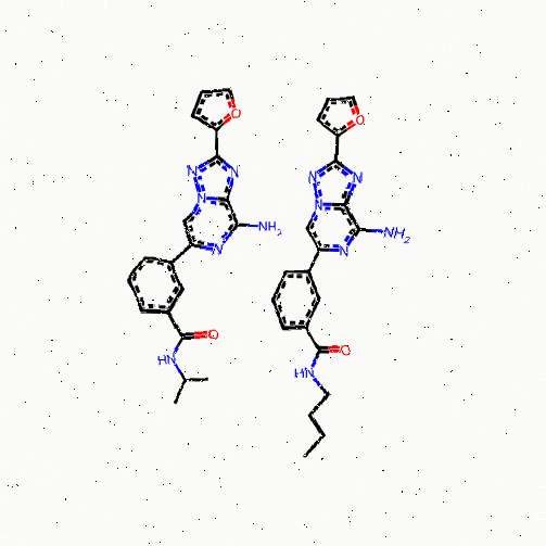 CC(C)NC(=O)c1cccc(-c2cn3nc(-c4ccco4)nc3c(N)n2)c1.CCCCNC(=O)c1cccc(-c2cn3nc(-c4ccco4)nc3c(N)n2)c1